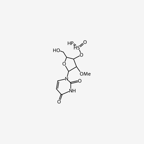 COC1C(O[SH](=O)=P)C(CO)OC1n1ccc(=O)[nH]c1=O